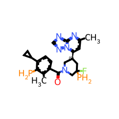 Cc1cc([C@@H]2CN(C(=O)c3ccc(C4CC4)c(P)c3C)CC(F)(P)C2)n2ncnc2n1